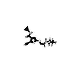 C[C@@H](COc1cc(C(=O)NC2CC2)c(C#N)s1)NS(=O)(=O)C(F)(F)F